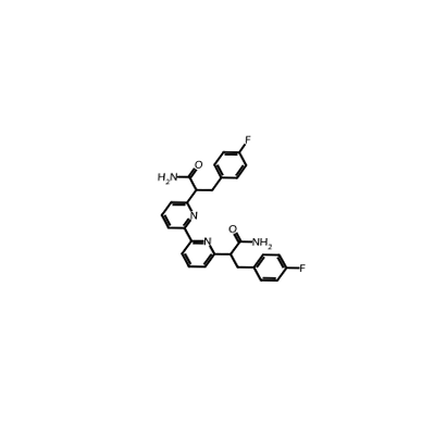 NC(=O)C(Cc1ccc(F)cc1)c1cccc(-c2cccc(C(Cc3ccc(F)cc3)C(N)=O)n2)n1